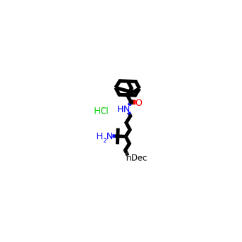 CCCCCCCCCCCCC(CCCNC(=O)C12CC3CC(CC(C3)C1)C2)C(C)(C)N.Cl